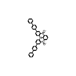 [O-][S+]1c2cc(-c3ccc(-c4ccccc4)cc3)ccc2N2c3ccc(-c4ccc(-c5ccccc5)cc4)cc3[S+]([O-])c3cccc1c32